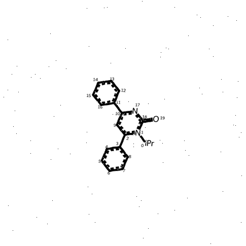 CC(C)n1c(-c2ccccc2)cc(-c2ccccc2)nc1=O